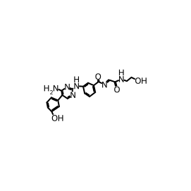 Nc1nc(Nc2cccc(C(=O)N=CC(=O)NCCO)c2)ncc1-c1cccc(O)c1